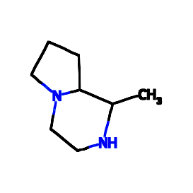 CC1NCCN2CCCC12